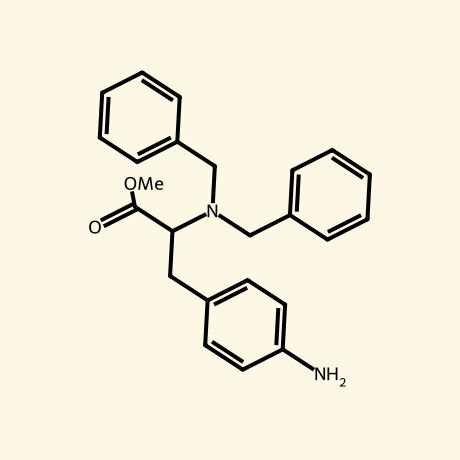 COC(=O)C(Cc1ccc(N)cc1)N(Cc1ccccc1)Cc1ccccc1